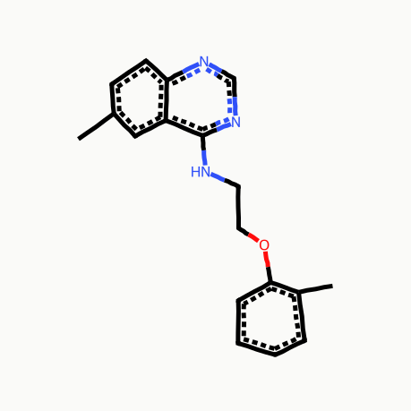 Cc1ccc2ncnc(NCCOc3ccccc3C)c2c1